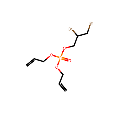 C=CCOP(=O)(OCC=C)OCC(Br)CBr